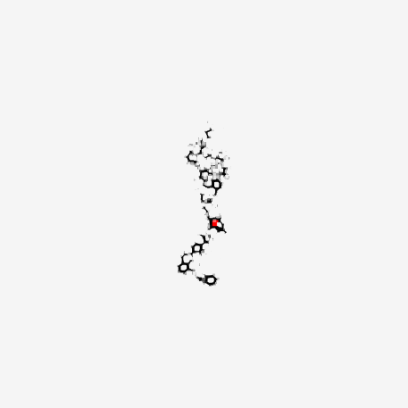 Cc1c(-c2ccc(N3CCc4cccc(C(=O)Nc5nc6ccccc6s5)c4C3)nc2C(=O)O)cnn1CC12CC3(C)CC(C)(C1)CC(OCCN(CCS(=O)(=O)O)C(=O)OCc1ccc(NC(=O)[C@H](C)NC(=O)[C@@H](NC(=O)C[C@H](c4cn(CCCS(=O)(=O)O)nn4)N4C(=O)C=CC4=O)C(C)C)cc1CC[C@@H]1O[C@H](C(=O)O)[C@H](O)[C@@H](O)[C@H]1O)(C3)C2